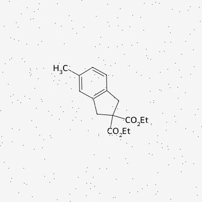 CCOC(=O)C1(C(=O)OCC)Cc2ccc(C)cc2C1